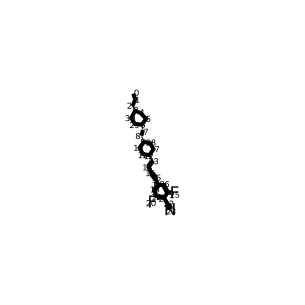 CCC[C@H]1CC[C@H](CC[C@H]2CC[C@H](C=CC#Cc3cc(F)c(C#N)c(F)c3)CC2)CC1